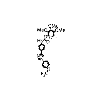 CO[C@@H]1[C@@H](OC)[C@H](C)O[C@H](OC(=O)Nc2ccc(-c3cn(-c4ccc(OC(F)(F)F)cc4)cn3)cc2)[C@@H]1OC